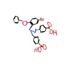 O=C(O)c1ccc(CN(Cc2cc(Br)ccc2OCc2ccccc2)c2ccc(C(=O)O)cc2)cc1